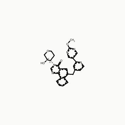 COc1ncc(-c2cc(Cc3cc4c(=O)n([C@H]5CCOC[C@@H]5O)cnc4c4ccccc34)ccn2)cn1